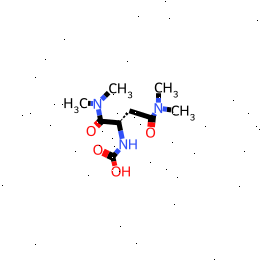 CN(C)C(=O)C[C@H](NC(=O)O)C(=O)N(C)C